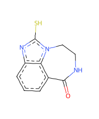 O=C1NCCn2c(S)nc3cccc1c32